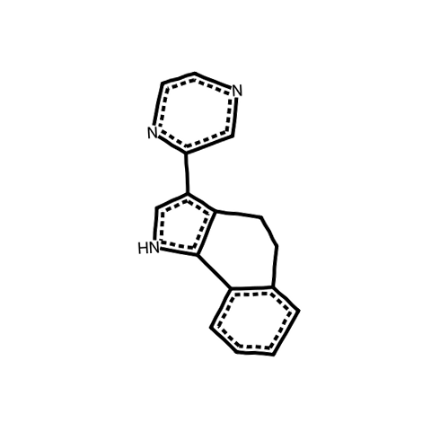 c1ccc2c(c1)CCc1c(-c3cnccn3)c[nH]c1-2